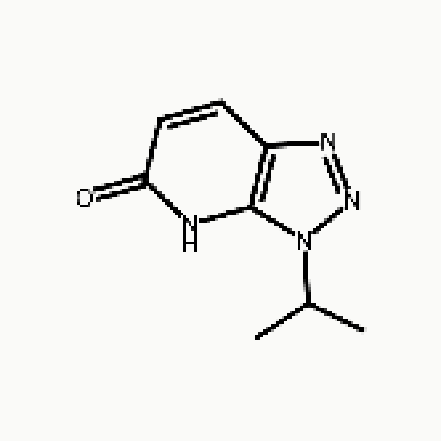 CC(C)n1nnc2ccc(=O)[nH]c21